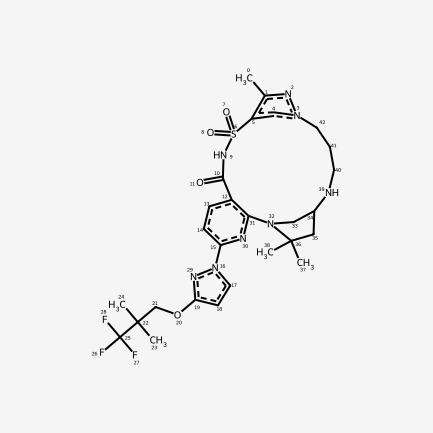 Cc1nn2cc1S(=O)(=O)NC(=O)c1ccc(-n3ccc(OCC(C)(C)C(F)(F)F)n3)nc1N1CC(CC1(C)C)NCCC2